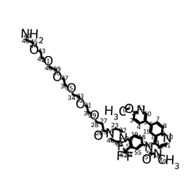 COc1ccc(-c2ccc3ncc4c(c3c2)n(-c2ccc(N3CCN(C(=O)CCOCCOCCOCCOCCOCCOCCN)CC3)c(C(F)(F)F)c2)c(=O)n4C)cn1